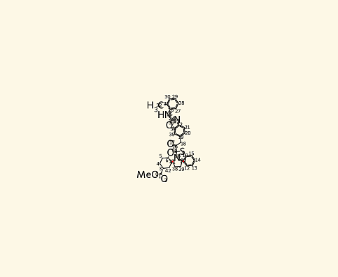 COC(=O)[C@H]1CC[C@H](OC(Sc2ccccc2)(C(=O)Cc2ccc3nc(Nc4ccccc4C)oc3c2)N2CCCC2)CC1